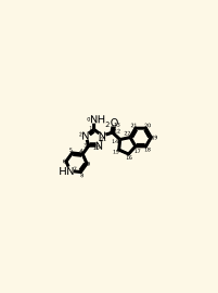 Nc1nc(C2=CCNC=C2)nn1C(=O)C1CCc2ccccc21